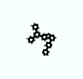 c1ccc(-c2ccc(-c3cccc4sc5cc(-c6nc(-c7ccccc7)nc(-c7ccccc7)n6)ccc5c34)cc2)cc1